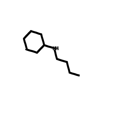 CCCCNC1C[CH]CCC1